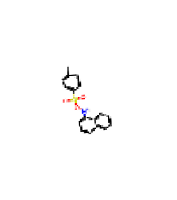 Cc1ccc(S(=O)(=O)O[N+]c2cccc3ccccc23)cc1